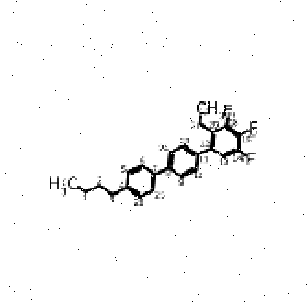 CCCCc1ccc(-c2ccc(-c3cc(F)c(F)c(F)c3CC)cc2)cc1